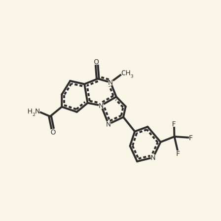 Cn1c(=O)c2ccc(C(N)=O)cc2n2nc(-c3ccnc(C(F)(F)F)c3)cc12